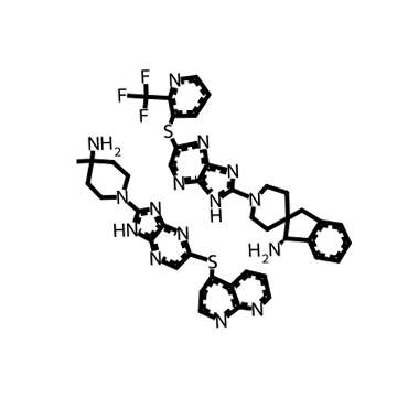 CC1(N)CCN(c2nc3nc(Sc4ccnc5ncccc45)cnc3[nH]2)CC1.N[C@@H]1c2ccccc2CC12CCN(c1nc3nc(Sc4cccnc4C(F)(F)F)cnc3[nH]1)CC2